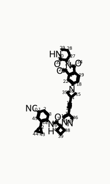 N#Cc1ccc(NC(=O)C2(n3cc(C#CC4CN(c5ccc6c(c5)C(=O)N(C5CCCNC5=O)C6=O)C4)cn3)CCC2)c(C2CC2)c1